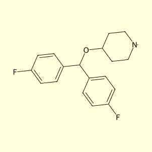 Fc1ccc(C(OC2CC[N]CC2)c2ccc(F)cc2)cc1